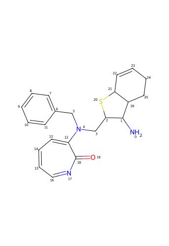 NC1C(CN(Cc2ccccc2)c2ccccnc2=O)SC2C=CCCC21